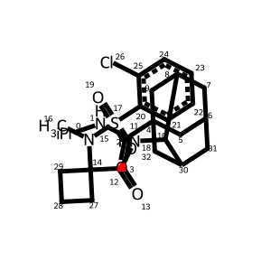 CC(C)NC(=O)C12CC3CC(C1)C(NC(=O)C1(N(C)S(=O)(=O)c4ccccc4Cl)CCC1)C(C3)C2